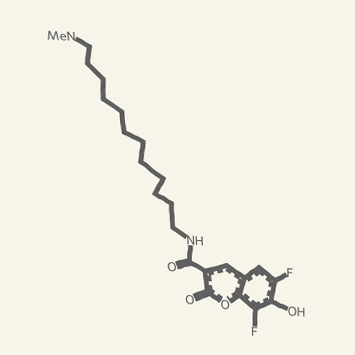 CNCCCCCCCCCCCCNC(=O)c1cc2cc(F)c(O)c(F)c2oc1=O